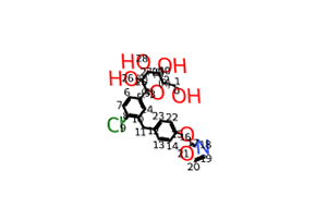 OC[C@H]1O[C@@H](c2ccc(Cl)c(Cc3ccc(Oc4ncco4)cc3)c2)[C@H](O)C(O)[C@@H]1O